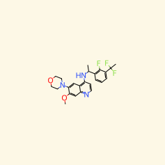 COc1cc2nccc(NC(C)c3cccc(C(C)(F)F)c3F)c2cc1N1CCOCC1